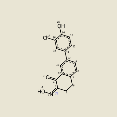 O=C1/C(=N\O)CCc2ccc(-c3ccc(O)c(Cl)c3)cc21